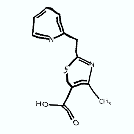 Cc1nc(Cc2ccccn2)sc1C(=O)O